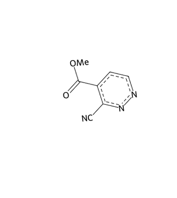 COC(=O)c1ccnnc1C#N